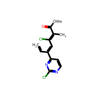 C=C/C(=C\C(Cl)=C(/C)C(=O)OC)c1ccnc(Cl)n1